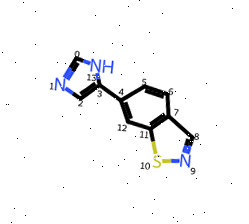 c1ncc(-c2ccc3cnsc3c2)[nH]1